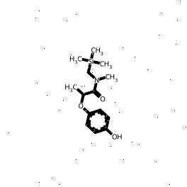 CC(Oc1ccc(O)cc1)C(=O)N(C)C[Si](C)(C)C